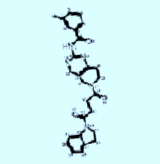 Cc1cccc(C(=O)Nc2ncc3c(n2)CCN(C(=O)CCC(=O)N2CCc4ccccc42)C3)c1